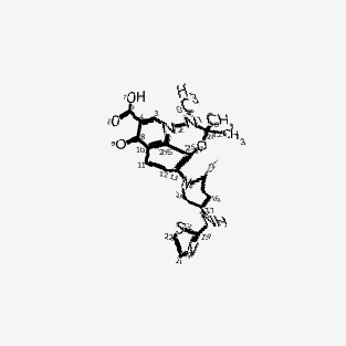 CN1n2cc(C(=O)O)c(=O)c3ccc(N4CC[C@@H](Nc5nccs5)C4)c(c32)OC1(C)C